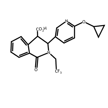 O=C(O)C1c2ccccc2C(=O)N(CC(F)(F)F)C1c1ccc(OC2CC2)nc1